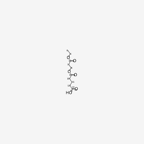 CCOC(=O)CCOC(=O)CCCC(=O)O